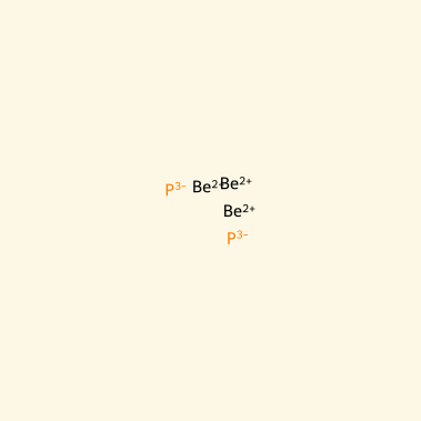 [Be+2].[Be+2].[Be+2].[P-3].[P-3]